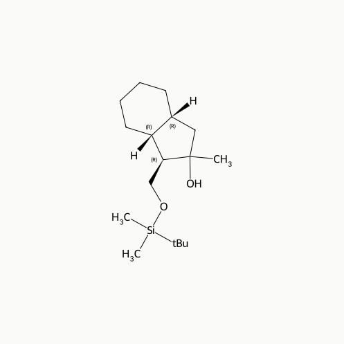 CC1(O)C[C@H]2CCCC[C@H]2[C@@H]1CO[Si](C)(C)C(C)(C)C